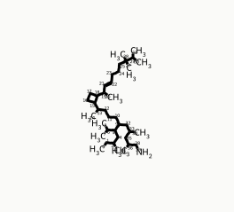 CCC(C)CC(C(C)C)C(CCCC(C)C1CCC1C(C)C=CCCCC(C)(C)C(C)C)CC(C)CC(C)CN